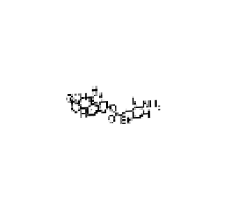 CCC(Cc1c(I)cc(I)c(N)c1I)C(=O)O[C@H]1CC[C@@]2(C)C(=CC[C@@H]3C2CC[C@]2(C)C(=O)CCC32)C1